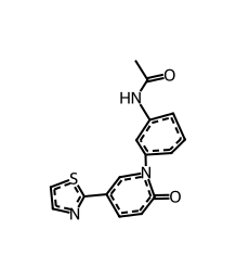 CC(=O)Nc1cccc(-n2cc(-c3nccs3)ccc2=O)c1